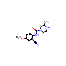 COc1ccc(NC(=O)N2CCNC(C)C2)c(C#N)c1